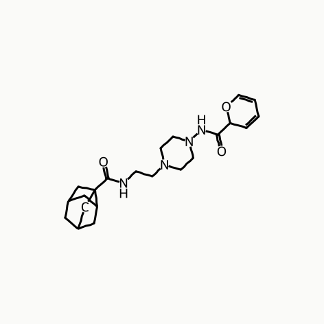 O=C(NN1CCN(CCNC(=O)C23CC4CC(CC2C4)C3)CC1)C1C=CC=CO1